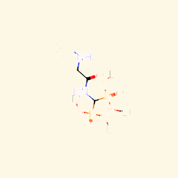 CCOP(=O)(OCC)C(NC(=O)CNC(=O)O)P(=O)(OCC)OCC